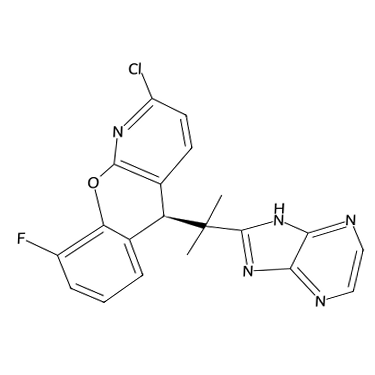 CC(C)(c1nc2nccnc2[nH]1)[C@@H]1c2ccc(Cl)nc2Oc2c(F)cccc21